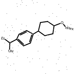 CCCCCCOC1CCC(c2ccc(C(O)CC)cc2)CC1